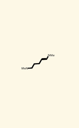 CNC=CCCCNC